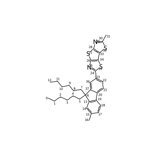 CCCCCCC1(CCCCCC)c2cc(C)ccc2-c2ccc(-c3nc4sc5nc(C)sc5c4s3)cc21